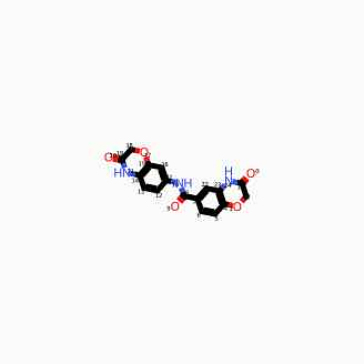 O=C1COc2ccc(C(=O)Nc3ccc4c(c3)OCC(=O)N4)cc2N1